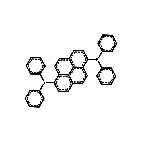 c1ccc(B(c2ccccc2)c2ccc3ccc4c(B(c5ccccc5)c5ccccc5)ccc5ccc2c3c54)cc1